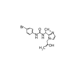 C=C(O)Cn1ccnc1C(C)NC(=O)Nc1ccc(Br)cc1